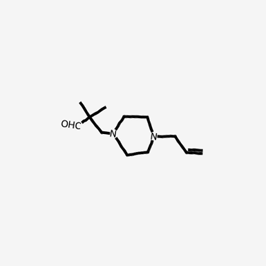 C=CCN1CCN(CC(C)(C)C=O)CC1